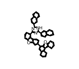 c1ccc2cc(C3=NC(c4cccc5oc6cc(-c7cc8ccccc8c8c7oc7ccccc78)ccc6c45)=NC(c4ccc5ccccc5c4)N3)ccc2c1